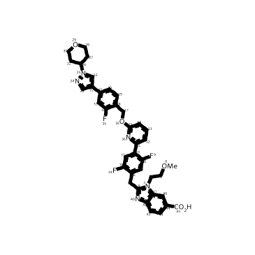 COCCn1c(Cc2cc(F)c(-c3cccc(OCc4ccc(-c5cnn(C6CCOCC6)c5)cc4F)n3)cc2F)nc2ccc(C(=O)O)cc21